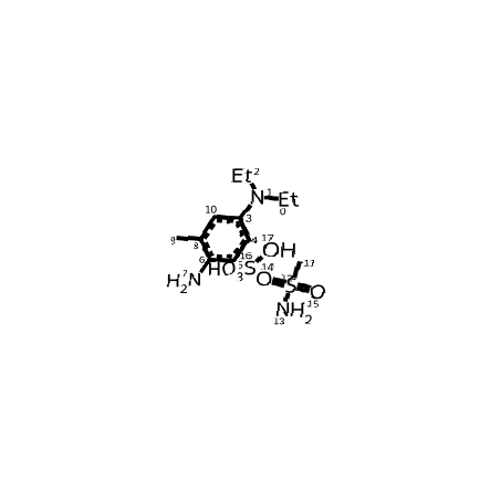 CCN(CC)c1ccc(N)c(C)c1.CS(N)(=O)=O.O=S(=O)(O)O